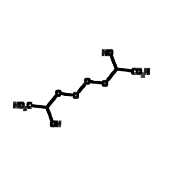 O=C(O)C(O)OOOOC(O)C(=O)O